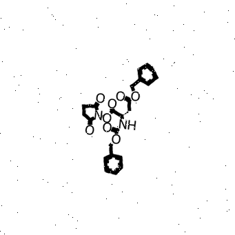 O=C(C[C@H](NC(=O)OCc1ccccc1)C(=O)ON1C(=O)CCC1=O)OCc1ccccc1